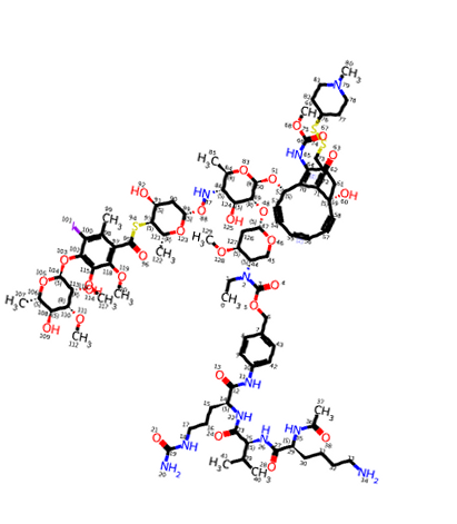 CCN(C(=O)OCc1ccc(NC(=O)[C@H](CCCNC(N)=O)NC(=O)[C@@H](NC(=O)[C@H](CCCCN)NC(C)=O)C(C)C)cc1)[C@H]1CO[C@@H](O[C@H]2[C@H](O[C@H]3C#C/C=C\C#C[C@]4(O)CC(=O)C(NC(=O)OC)=C3/C4=C\CSSC3CCN(C)CC3)O[C@H](C)[C@@H](NO[C@H]3C[C@H](O)[C@H](SC(=O)c4c(C)c(I)c(O[C@@H]5O[C@@H](C)[C@H](O)[C@@H](OC)[C@H]5O)c(OC)c4OC)[C@@H](C)O3)[C@@H]2O)C[C@@H]1OC